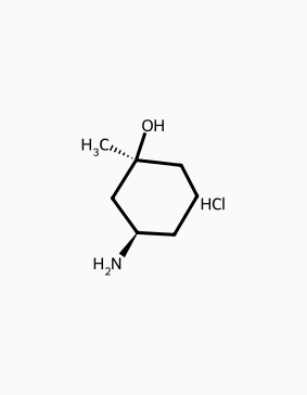 C[C@]1(O)CCC[C@@H](N)C1.Cl